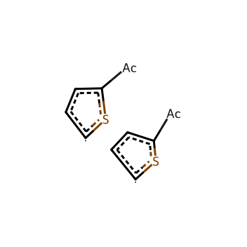 CC(=O)c1cc[c]s1.CC(=O)c1cc[c]s1